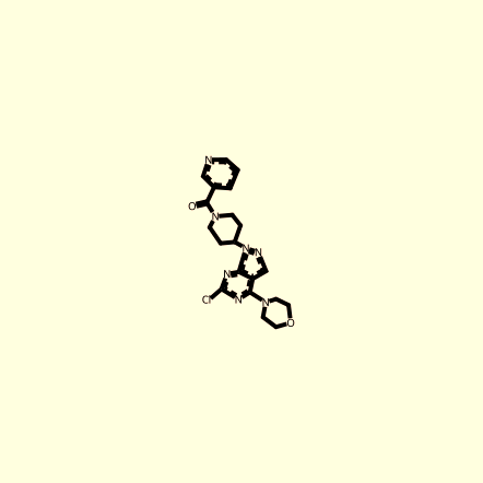 O=C(c1cccnc1)N1CCC(n2ncc3c(N4CCOCC4)nc(Cl)nc32)CC1